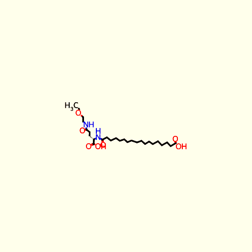 CCOCCNC(=O)CC[C@H](NC(=O)CCCCCCCCCCCCCCCCC(=O)O)C(=O)O